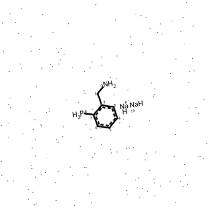 NCc1ccccc1P.[NaH].[NaH]